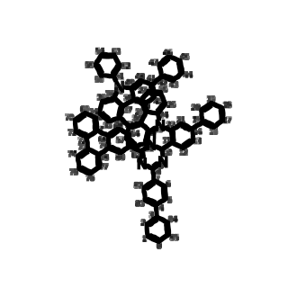 c1ccc(-c2ccc(C3=NC(c4ccc(-c5ccccc5)cc4-n4c5ccccc5c5c(-c6cccc7c6c6ccc(-c8ccccc8)cc6n7-c6ccccc6)cccc54)NC(c4ccc5c6ccccc6c6ccccc6c5c4)=N3)cc2)cc1